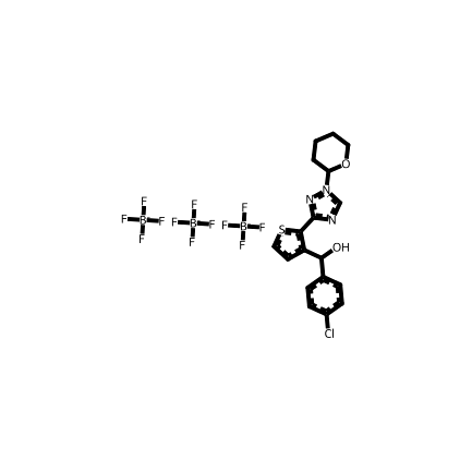 F[B-](F)(F)F.F[B-](F)(F)F.F[B-](F)(F)F.OC(c1ccc(Cl)cc1)c1ccsc1-c1ncn(C2CCCCO2)n1